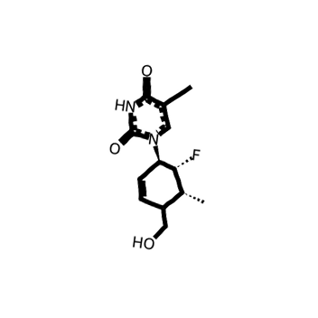 Cc1cn([C@@H]2C=CC(CO)[C@@H](C)[C@H]2F)c(=O)[nH]c1=O